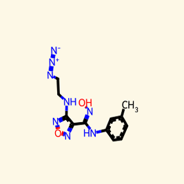 Cc1cccc(NC(=NO)c2nonc2NCCN=[N+]=[N-])c1